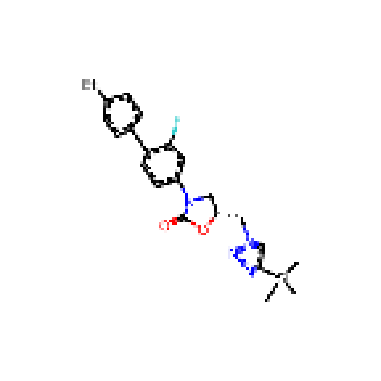 CCc1ccc(-c2ccc(N3C[C@H](Cn4cc([Si](C)(C)C)nn4)OC3=O)cc2F)cc1